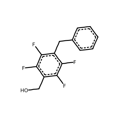 OCc1c(F)c(F)c(Cc2ccccc2)c(F)c1F